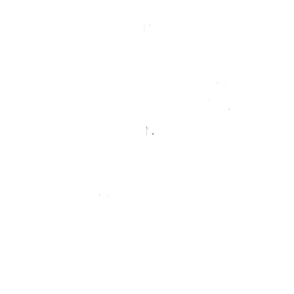 CC(C)Cc1ccc2c(c1)C(NCC(O)COc1cc(F)cc(F)c1)CCS2(=O)=O